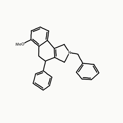 COc1cccc2c1CC(c1ccccc1)C1=C2CN(Cc2ccccc2)C1